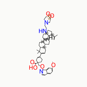 C=C(C)[C@@H]1CC[C@]2(NCCN3CCS(=O)(=O)CC3)CC[C@]3(C)[C@H](CCC4[C@@]5(C)CC=C(C6=CCC(COc7nccc8ccc(OC)cc78)(C(=O)O)CC6)C(C)(C)C5CC[C@]43C)C12